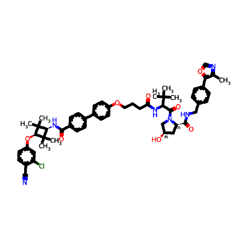 Cc1ncoc1-c1ccc(CNC(=O)[C@@H]2C[C@@H](O)CN2C(=O)C(NC(=O)CCCOc2ccc(-c3ccc(C(=O)N[C@H]4C(C)(C)[C@H](Oc5ccc(C#N)c(Cl)c5)C4(C)C)cc3)cc2)C(C)(C)C)cc1